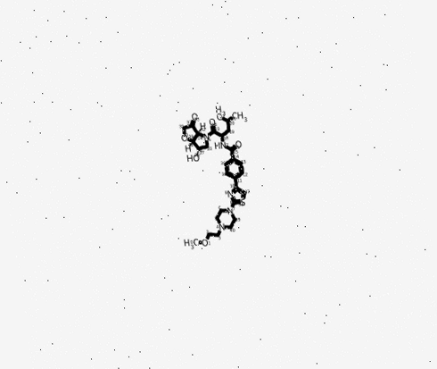 COCCN1CCN(c2nc(-c3ccc(C(=O)NC(CC(C)C)C(=O)N4C[C@H](O)[C@H]5OCC(=O)[C@H]54)cc3)cs2)CC1